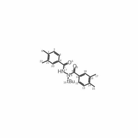 Cc1ccc(C(=O)NN(C(=O)c2ccc(C)c(C)c2)C(C)(C)C)cc1C